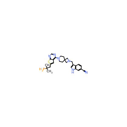 CC(C)(P)Cc1cc2c(N3CCC4(CC3)CN(Cc3c[nH]c5cc(C#N)ccc35)C4)ncnc2s1